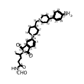 CC(CCC(=O)NC=O)N1C(=O)c2ccc(N3CCC(CN4CCC(c5ccc(N)cc5)CC4)CC3)cc2C1=O